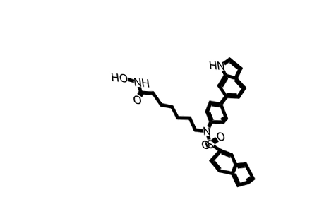 O=C(CCCCCCN(c1ccc(-c2ccc3cc[nH]c3c2)cc1)S(=O)(=O)c1ccc2ccccc2c1)NO